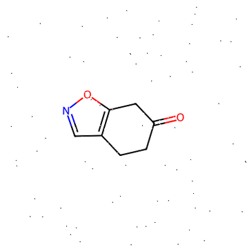 O=C1CCc2cnoc2C1